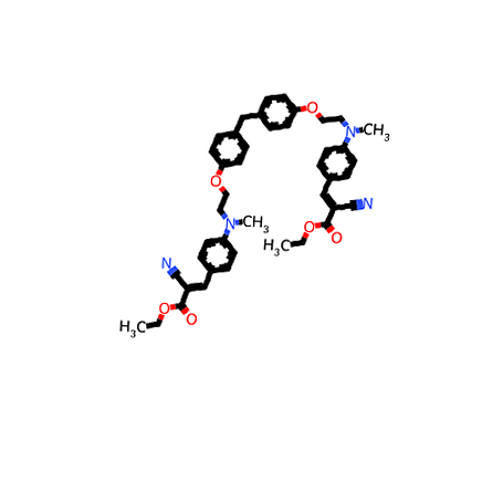 CCOC(=O)/C(C#N)=C/c1ccc(N(C)CCOc2ccc(Cc3ccc(OCCN(C)c4ccc(/C=C(\C#N)C(=O)OCC)cc4)cc3)cc2)cc1